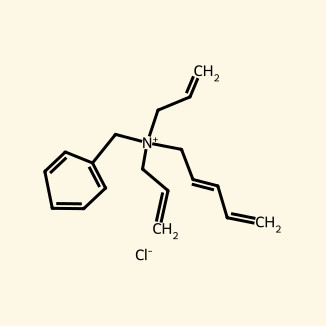 C=CC=CC[N+](CC=C)(CC=C)Cc1ccccc1.[Cl-]